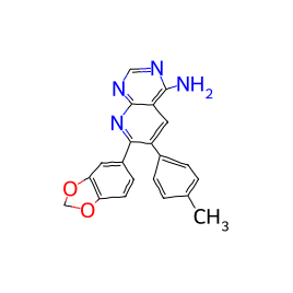 Cc1ccc(-c2cc3c(N)ncnc3nc2-c2ccc3c(c2)OCO3)cc1